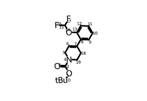 CC(C)(C)OC(=O)N1CC=C(c2ccccc2OC(F)F)CC1